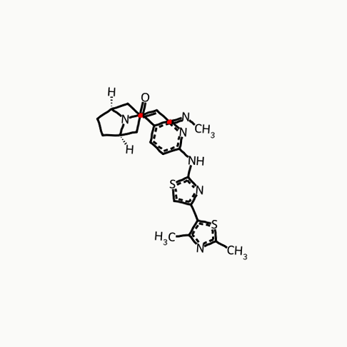 C/N=C/C=C1\C[C@H]2CC[C@@H](C1)N2C(=O)c1ccc(Nc2nc(-c3sc(C)nc3C)cs2)nc1